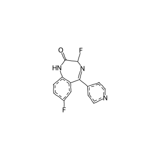 O=C1Nc2ccc(F)cc2C(c2ccncc2)=NC1F